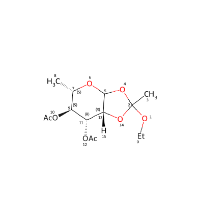 CCOC1(C)OC2O[C@@H](C)[C@H](OC(C)=O)[C@@H](OC(C)=O)[C@H]2O1